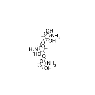 CCC1(C)C(C)OC(COCC2C(C)OC(C)(COCC3(C)C(C)OC(C)(O)C(N)C3O)C(N)C2O)C(N)C1O